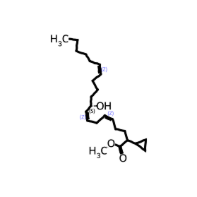 CCCCC/C=C\CCC[C@H](O)/C=C\C/C=C\CCC(C(=O)OC)C1CC1